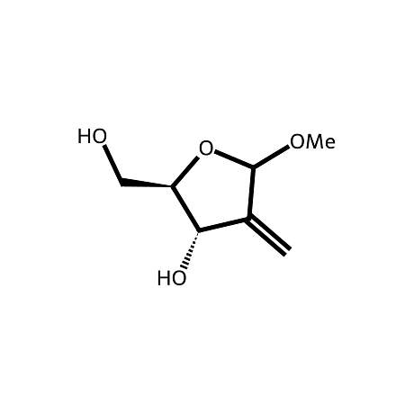 C=C1C(OC)O[C@H](CO)[C@H]1O